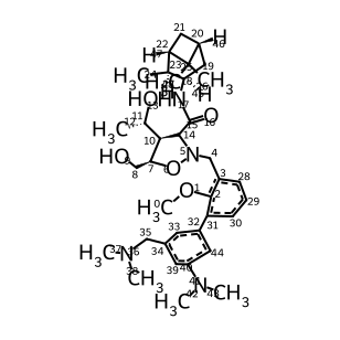 COc1c(CN2O[C@@H](CO)[C@@H]([C@H](C)O)C2C(=O)N[C@@H]2C[C@H]3C[C@@H]([C@@H]2C)C3(C)C)cccc1-c1cc(CN(C)C)cc(N(C)C)c1